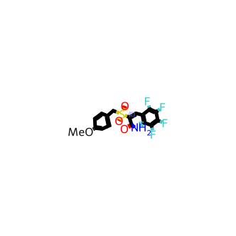 COc1ccc(CS(=O)(=O)/C(=C/c2c(F)c(F)c(F)c(F)c2F)C(N)=O)cc1